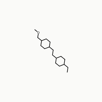 CCC1CCC(CCC2CCC(COC)CC2)CC1